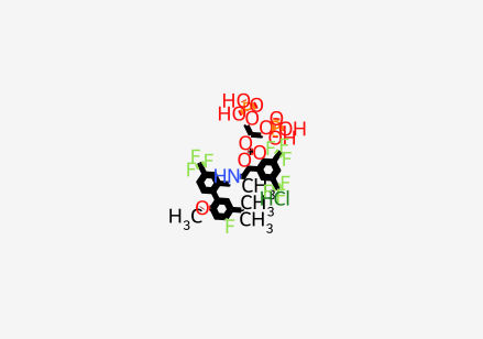 COc1cc(F)c(C(C)C)cc1-c1ccc(C(F)(F)F)cc1CN[C@@H](C)[C@H](OC(=O)OC(COP(=O)(O)O)COP(=O)(O)O)c1cc(C(F)(F)F)cc(C(F)(F)F)c1.Cl